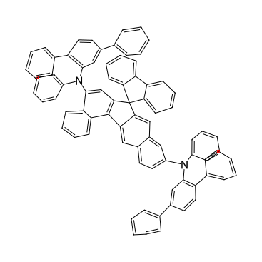 c1ccc(-c2ccc(-c3ccccc3)c(N(c3ccccc3)c3ccc4cc5c(cc4c3)C3(c4ccccc4-c4ccccc43)c3cc(N(c4ccccc4)c4cc(-c6ccccc6)ccc4-c4ccccc4)c4ccccc4c3-5)c2)cc1